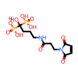 O=C(CCN1C(=O)C=CC1=O)NCCCC(O)(P(=O)(O)O)P(=O)(O)O